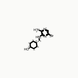 Nc1ncc(Br)nc1NC[C@H]1CC[C@H](O)CC1